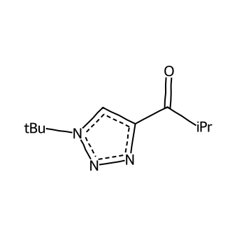 CC(C)C(=O)c1cn(C(C)(C)C)nn1